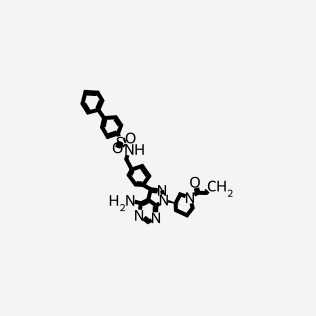 C=CC(=O)N1CCC[C@@H](n2nc(-c3ccc(CNS(=O)(=O)c4ccc(-c5ccccc5)cc4)cc3)c3c(N)ncnc32)C1